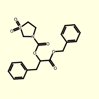 O=C(OCc1ccccc1)C(Cc1ccccc1)OC(=O)N1CCS(=O)(=O)C1